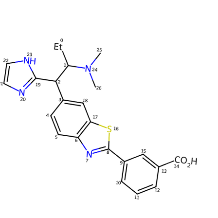 CCC(C(c1ccc2nc(-c3cccc(C(=O)O)c3)sc2c1)c1ncc[nH]1)N(C)C